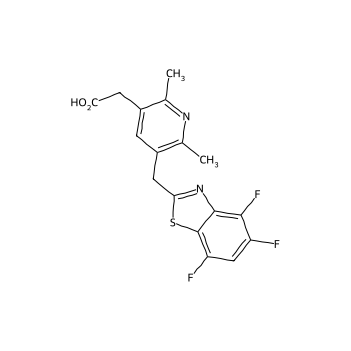 Cc1nc(C)c(Cc2nc3c(F)c(F)cc(F)c3s2)cc1CC(=O)O